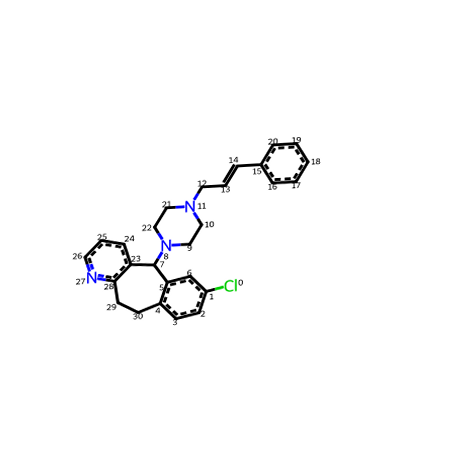 Clc1ccc2c(c1)C(N1CCN(CC=Cc3ccccc3)CC1)c1cccnc1CC2